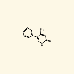 Cc1nc(=S)[nH]nc1-c1ccccc1